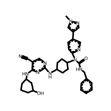 Cn1cc(-c2ccc(N(C(=O)NCc3ccccc3)C3CCC(Nc4ncc(C#N)c(NC5CCCC(O)C5)n4)CC3)nc2)cn1